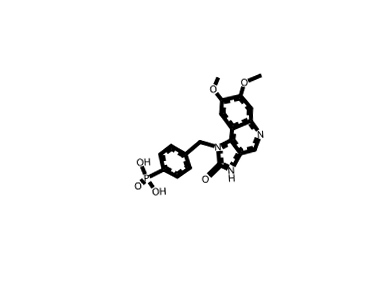 COc1cc2ncc3[nH]c(=O)n(Cc4ccc(P(=O)(O)O)cc4)c3c2cc1OC